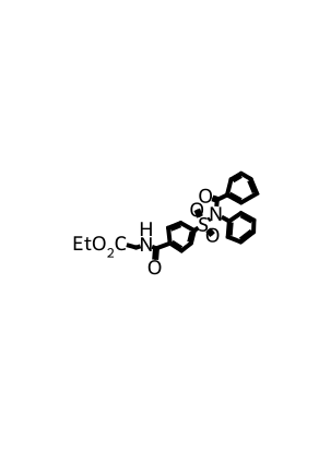 CCOC(=O)CNC(=O)c1ccc(S(=O)(=O)N(C(=O)c2ccccc2)c2ccccc2)cc1